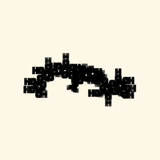 CC(C)=CCC[C@](C)(O[C@@H]1O[C@H](CO[C@@H]2OC[C@H](O[C@@H]3OC[C@@H](O)[C@H](O)[C@H]3O)[C@H](O)[C@H]2O)[C@@H](O)[C@H](O)[C@H]1O)[C@H]1CC[C@]2(C)[C@@H]1[C@H](O)C[C@@H]1[C@@]3(C)CC[C@H](O[C@@H]4O[C@H](CO)[C@@H](O)[C@H](O)[C@H]4O[C@@H]4O[C@H](CO)[C@@H](O)[C@H](O)[C@H]4O)C(C)(C)[C@@H]3CC[C@]12C